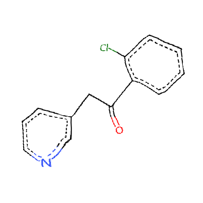 O=C(Cc1cccnc1)c1ccccc1Cl